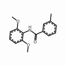 COc1cccc(OC)c1NC(=O)c1cccc(C)c1